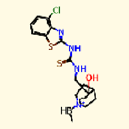 CB[N+]12CCC(CC1)C(O)(CNC(=S)Nc1nc3c(Cl)cccc3s1)C2